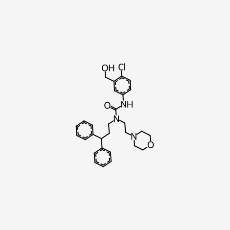 O=C(Nc1ccc(Cl)c(CO)c1)N(CCC(c1ccccc1)c1ccccc1)CCN1CCOCC1